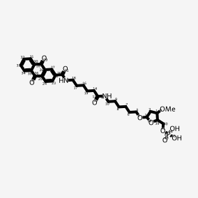 COC1CC(OCCCCCCNC(=O)CCCCCNC(=O)c2ccc3c(c2)C(=O)c2ccccc2C3=O)OC1COP(=O)(O)O